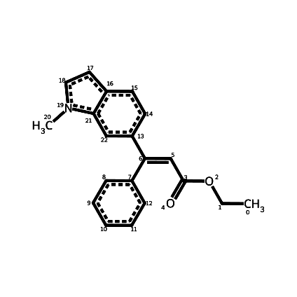 CCOC(=O)/C=C(\c1ccccc1)c1ccc2ccn(C)c2c1